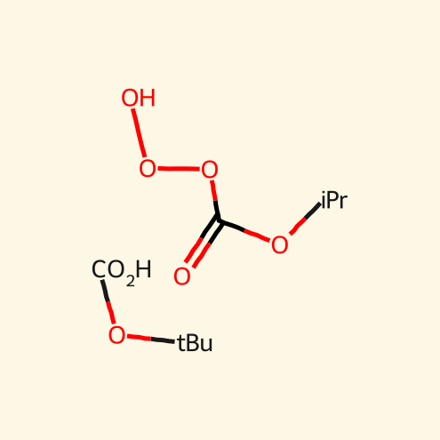 CC(C)(C)OC(=O)O.CC(C)OC(=O)OOO